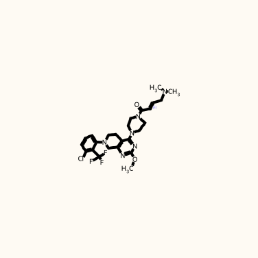 COc1nc2c(c(N3CCN(C(=O)/C=C/CN(C)C)CC3)n1)CCN(c1cccc(Cl)c1C(F)(F)F)C2